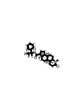 CN1C(=O)CC[C@@]2(C)C1CC[C@@H]1[C@H]2CC[C@]2(C)C(C(=O)NC(C)(c3ccccc3)C(F)(F)F)=CC[C@@H]12